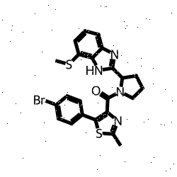 CSc1cccc2nc(C3CCCN3C(=O)c3nc(C)sc3-c3ccc(Br)cc3)[nH]c12